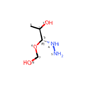 CC(O)[C@H](NN)OCO